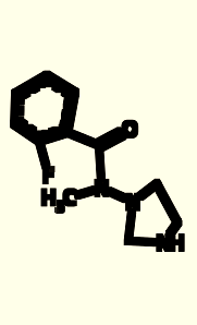 CN(C(=O)c1ccccc1F)N1CCNC1